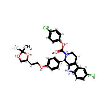 CC1(C)OC[C@H](CCOc2ccc([C@@H]3c4[nH]c5ccc(Cl)cc5c4CCN3C(=O)Oc3ccc(Cl)cc3)cc2)O1